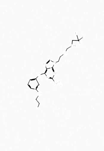 CCCOc1cccc(Sc2nc(N)nc3c2ncn3CCOCPCC(F)(F)F)c1